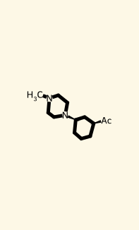 CC(=O)[C@H]1CCC[C@@H](N2CCN(C)CC2)C1